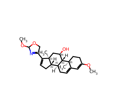 COC1=CC2=CC[C@@H]3[C@H]([C@H](O)C[C@]4(C)C(C5=NC(OC)OC5)=CC[C@@H]34)[C@@]2(C)CC1